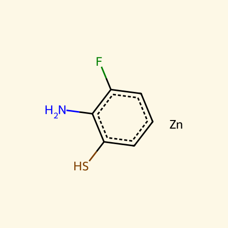 Nc1c(F)cccc1S.[Zn]